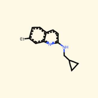 C[CH]c1ccc2ccc(NCC3CC3)nc2c1